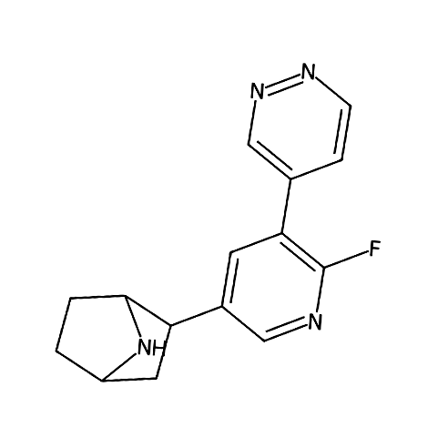 Fc1ncc(C2CC3CCC2N3)cc1-c1ccnnc1